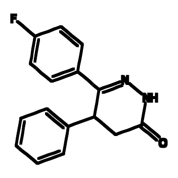 O=C1CC(c2ccccc2)C(c2ccc(F)cc2)=NN1